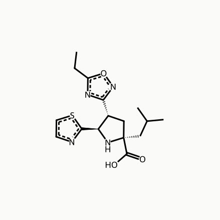 CCc1nc([C@@H]2C[C@@](CC(C)C)(C(=O)O)N[C@H]2c2nccs2)no1